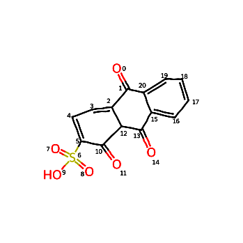 O=C1C2=CC=C(S(=O)(=O)O)C(=O)C2C(=O)c2ccccc21